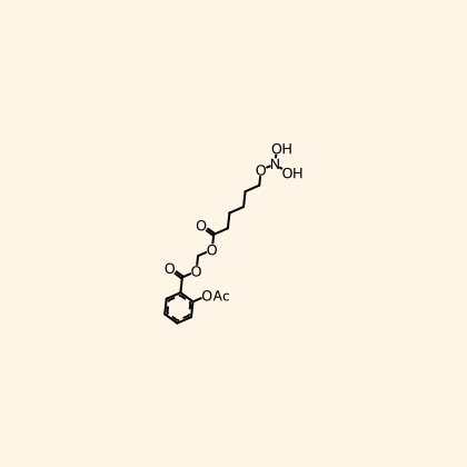 CC(=O)Oc1ccccc1C(=O)OCOC(=O)CCCCCON(O)O